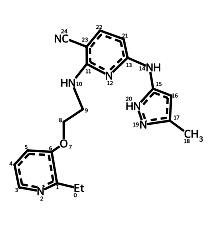 CCc1ncccc1OCCNc1nc(Nc2cc(C)n[nH]2)ccc1C#N